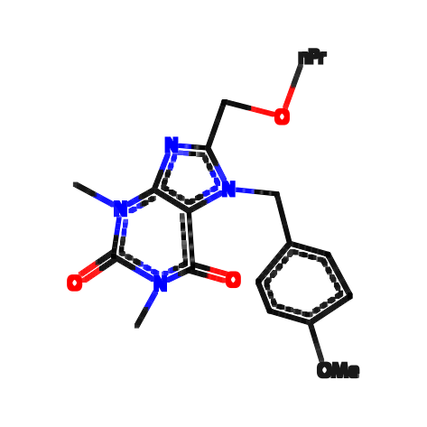 CCCOCc1nc2c(c(=O)n(C)c(=O)n2C)n1Cc1ccc(OC)cc1